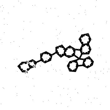 c1ccc2c(c1)-c1ccccc1C21c2cc3cc(-c4ccc(-c5cn6cccnc6n5)cc4)ccc3cc2-c2c1ccc1ccccc21